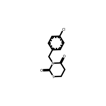 O=C1CCSC(=O)N1Cc1ccc(Cl)cc1